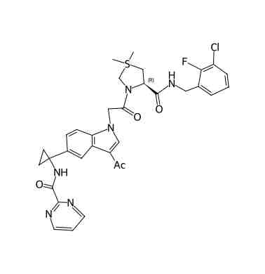 CC(=O)c1cn(CC(=O)N2CS(C)(C)C[C@H]2C(=O)NCc2cccc(Cl)c2F)c2ccc(C3(NC(=O)c4ncccn4)CC3)cc12